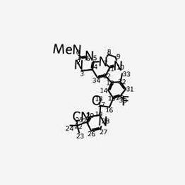 CNc1ncc2c(n1)N1CCN=C1C(c1cc(CC(=O)c3cc(C(C)(C)C#N)ccn3)c(F)cc1C)=C2